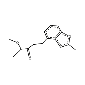 CON(C)C(=O)CCc1cccc2oc(C)cc12